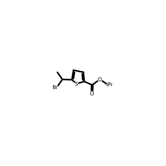 CC(C)OC(=O)c1ccc(C(C)Br)s1